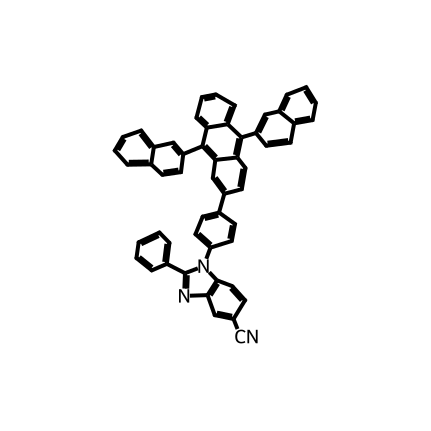 N#Cc1ccc2c(c1)nc(-c1ccccc1)n2-c1ccc(-c2ccc3c(-c4ccc5ccccc5c4)c4ccccc4c(-c4ccc5ccccc5c4)c3c2)cc1